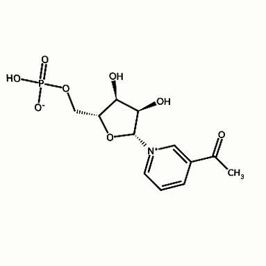 CC(=O)c1ccc[n+]([C@@H]2O[C@H](COP(=O)([O-])O)[C@@H](O)[C@H]2O)c1